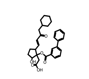 O=C(O)CC1(OC(=O)c2cccc(-c3ccccc3)c2)C(O)CCC1C=CC(=O)CC1CCCCC1